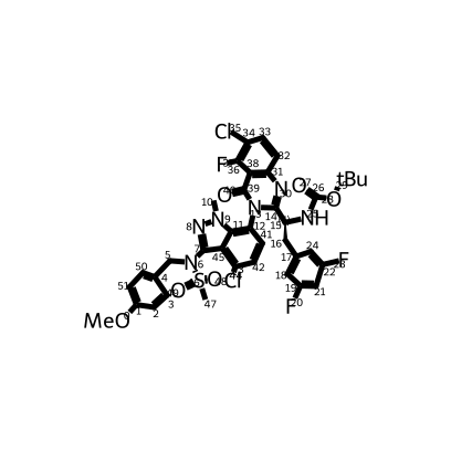 COc1ccc(CN(c2nn(C)c3c(-n4c([C@H](Cc5cc(F)cc(F)c5)NC(=O)OC(C)(C)C)nc5ccc(Cl)c(F)c5c4=O)ccc(Cl)c23)S(C)(=O)=O)cc1